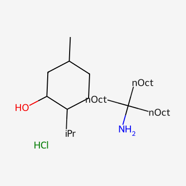 CC1CCC(C(C)C)C(O)C1.CCCCCCCCC(N)(CCCCCCCC)CCCCCCCC.Cl